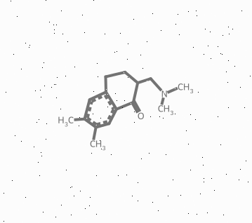 Cc1cc2c(cc1C)C(=O)C(CN(C)C)CC2